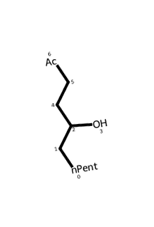 CCCCCCC(O)CCC(C)=O